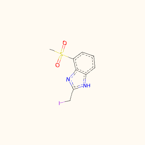 CS(=O)(=O)c1cccc2[nH]c(CI)nc12